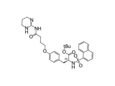 CC(C)(C)OC(=O)[C@H](Cc1ccc(OCCCC(=O)NC2=NCCCN2)cc1)NS(=O)(=O)c1cccc2ccccc12